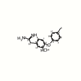 Cc1ccc(Oc2ccc(CC(=N)N)cc2)cc1.Cl